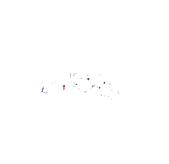 CC[C@@H]1C[C@H](C(=O)Cn2nc[nH]2)[C@@]2(C)CC[C@@H]3[C@H]4CC[C@H](C)C[C@H]4CC[C@H]3C12